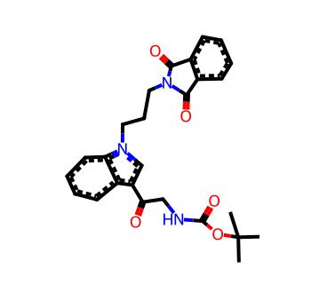 CC(C)(C)OC(=O)NCC(=O)c1cn(CCCN2C(=O)c3ccccc3C2=O)c2ccccc12